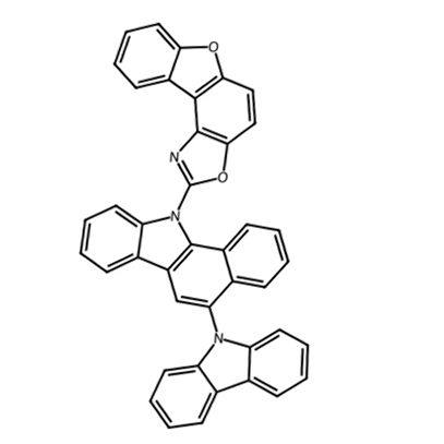 c1ccc2c(c1)oc1ccc3oc(-n4c5ccccc5c5cc(-n6c7ccccc7c7ccccc76)c6ccccc6c54)nc3c12